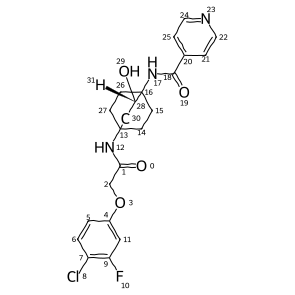 O=C(COc1ccc(Cl)c(F)c1)NC12CCC(NC(=O)c3ccncc3)(CC1)[C@@H](O)C2